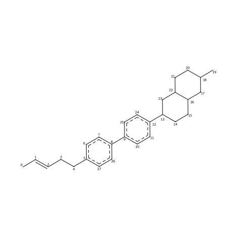 C/C=C/CCc1ccc(-c2ccc(C3CCC4CC(C)CCC4C3)cc2)cc1